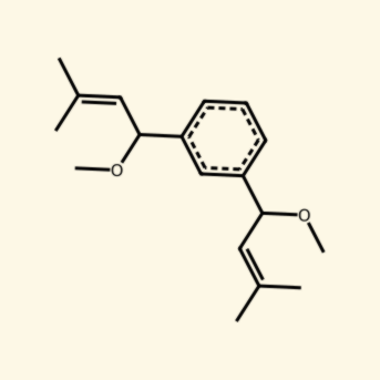 COC(C=C(C)C)c1cccc(C(C=C(C)C)OC)c1